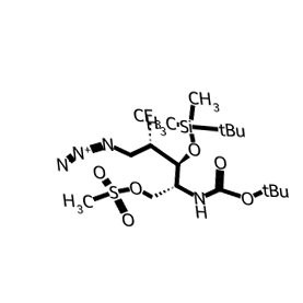 CC(C)(C)OC(=O)N[C@H](COS(C)(=O)=O)[C@H](O[Si](C)(C)C(C)(C)C)[C@H](CN=[N+]=[N-])C(F)(F)F